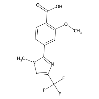 COc1cc(-c2nc(C(F)(F)F)cn2C)ccc1C(=O)O